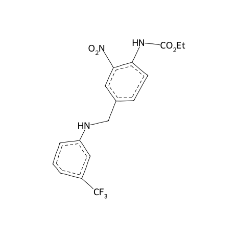 CCOC(=O)Nc1ccc(CNc2cccc(C(F)(F)F)c2)cc1[N+](=O)[O-]